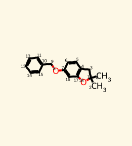 CC1(C)Cc2ccc(OCc3ccccc3)cc2O1